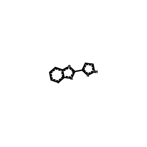 [c]1cccc2oc(-c3cc[nH]n3)nc12